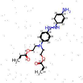 C=CC(=O)OCCN(CCOC(=O)C=C)c1ccc(NNC2C=CC(N)=CC2)cc1